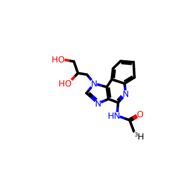 [3H]CC(=O)Nc1nc2ccccc2c2c1ncn2CC(O)CO